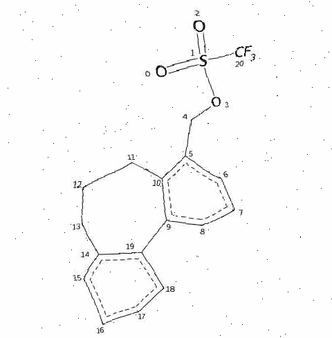 O=S(=O)(OCc1cccc2c1CCCc1ccccc1-2)C(F)(F)F